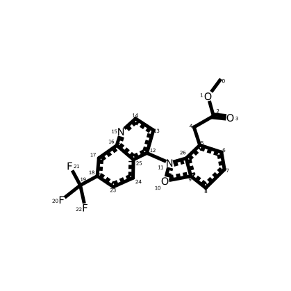 COC(=O)Cc1cccc2on(-c3ccnc4cc(C(F)(F)F)ccc34)c12